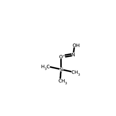 C[Si](C)(C)[O+]=NO